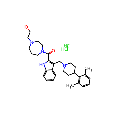 Cc1cccc(C)c1C1CCN(Cc2c(C(=O)N3CCCN(CCO)CC3)[nH]c3ccccc23)CC1.Cl.Cl